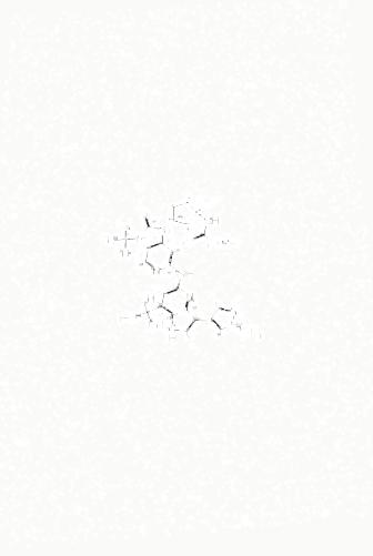 [2H]C1(NC(=O)OC)CC[C@@H](n2c(=O)n(C([2H])([2H])[2H])c3cnc(Nc4cc(C(C)(C)O)c5[nH]cc(-c6cnn(C(F)(F)F)c6)c5n4)cc32)C1